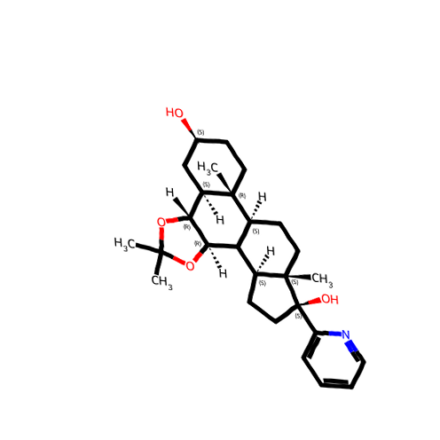 CC1(C)O[C@H]2[C@H](O1)C1[C@H](CC[C@@]3(C)[C@H]1CC[C@@]3(O)c1ccccn1)[C@@]1(C)CC[C@H](O)C[C@H]21